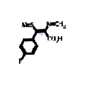 C=N/C(C(=O)O)=C(\SC)c1ccc(F)cc1